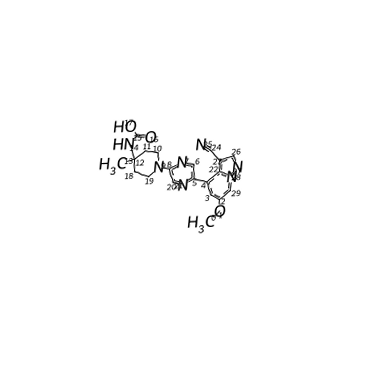 COc1cc(-c2cnc(N3CCC(C)(NC(=O)O)CC3)cn2)c2c(C#N)cnn2c1